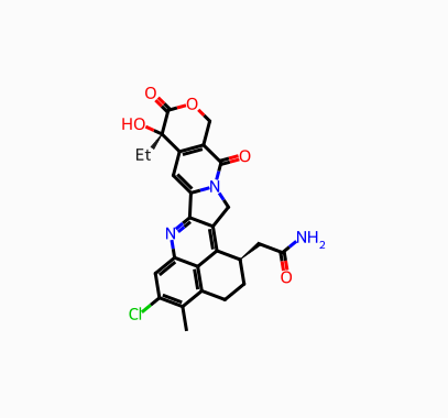 CC[C@@]1(O)C(=O)OCc2c1cc1n(c2=O)Cc2c-1nc1cc(Cl)c(C)c3c1c2[C@@H](CC(N)=O)CC3